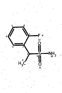 CC(c1ccccc1F)S(N)(=O)=O